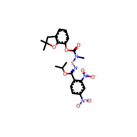 CC(C)OC(=NSN(C)C(=O)Oc1cccc2c1OC(C)(C)C2)c1ccc([N+](=O)[O-])cc1[N+](=O)[O-]